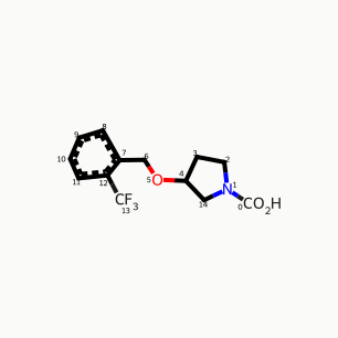 O=C(O)N1CCC(OCc2ccccc2C(F)(F)F)C1